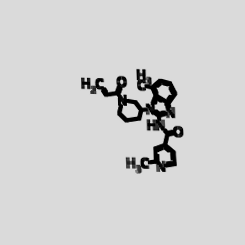 C=CC(=O)N1CCCC(n2c(NC(=O)c3ccnc(C)c3)nc3cccc(C)c32)C1